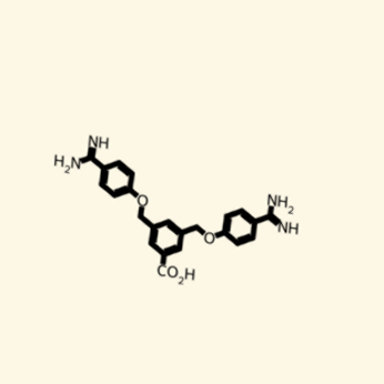 N=C(N)c1ccc(OCc2cc(COc3ccc(C(=N)N)cc3)cc(C(=O)O)c2)cc1